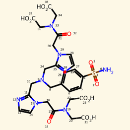 NS(=O)(=O)c1ccc(CN(Cc2nccn2CC(=O)N(CC(=O)O)CC(=O)O)Cc2nccn2CC(=O)N(CC(=O)O)CC(=O)O)cc1